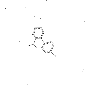 CC(C)c1ncccc1-c1ccc(F)cc1